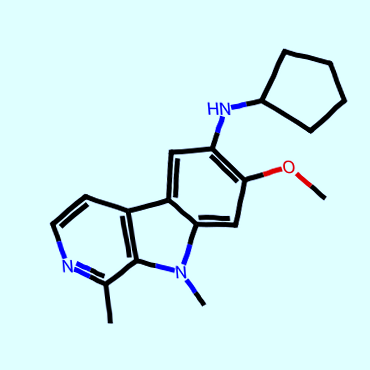 COc1cc2c(cc1NC1CCCC1)c1ccnc(C)c1n2C